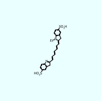 CCN1\C(=C/C=C/C=C/C=C/C2=Nc3ccc(S(=O)(=O)O)cc3C2)Cc2cc(S(=O)(=O)O)ccc21